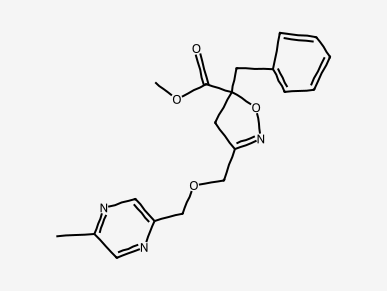 COC(=O)C1(Cc2ccccc2)CC(COCc2cnc(C)cn2)=NO1